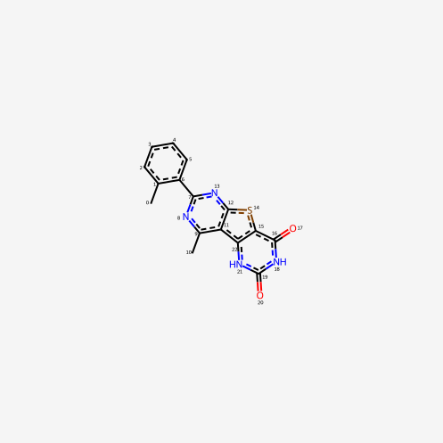 Cc1ccccc1-c1nc(C)c2c(n1)sc1c(=O)[nH]c(=O)[nH]c12